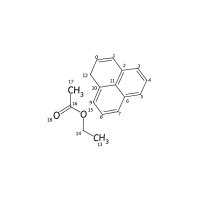 C1=Cc2cccc3cccc(c23)C1.CCOC(C)=O